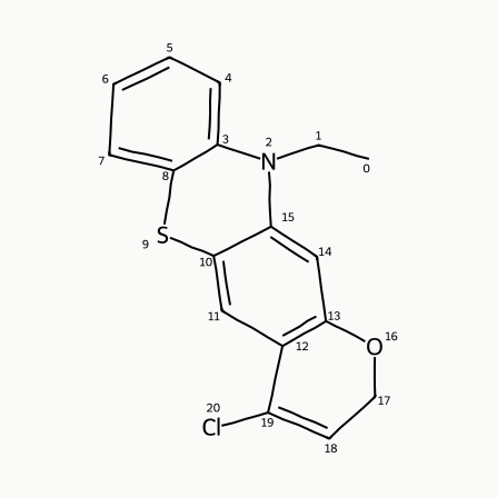 CCN1c2ccccc2Sc2cc3c(cc21)OCC=C3Cl